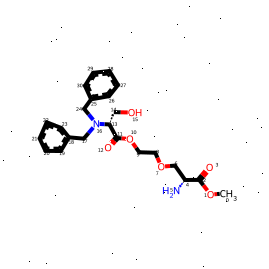 COC(=O)[C@H](N)COCCOC(=O)[C@@H](CO)N(Cc1ccccc1)Cc1ccccc1